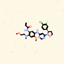 C=CC(=O)Nc1cc(Nc2cc(N3OCC[C@@H]3c3ccc(Cl)c(F)c3)ncn2)c(OC)cc1N(C)CCOC